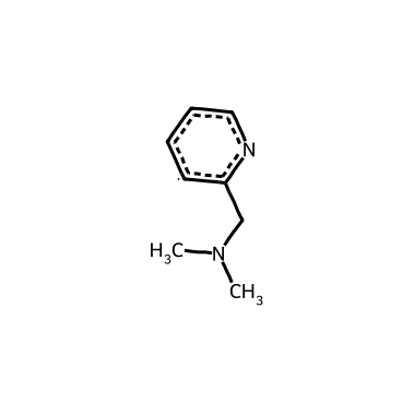 CN(C)Cc1[c]cccn1